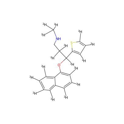 [2H]c1sc(C([2H])(Oc2c([2H])c([2H])c([2H])c3c([2H])c([2H])c([2H])c([2H])c23)C([2H])([2H])CNC([2H])([2H])[2H])c([2H])c1[2H]